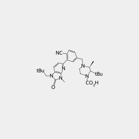 C[C@H]1C(C(C)(C)C)N(C(=O)O)CCN1Cc1ccc(C#N)c(-c2ccc3c(n2)n(C)c(=O)n3CC(C)(C)C)c1